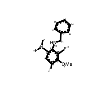 COc1c(F)cc(N(C)F)c(NCc2ccccc2)c1F